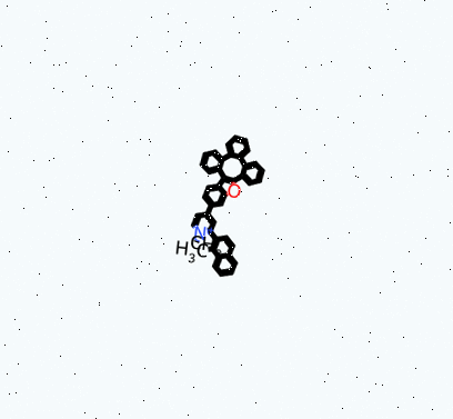 Cc1c(-c2cc(-c3ccc4c5c(oc4c3)-c3ccccc3-c3ccccc3-c3ccccc3-5)cc[n+]2C)ccc2ccccc12